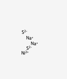 [Na+].[Na+].[Ni+2].[S-2].[S-2]